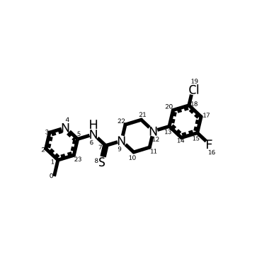 Cc1ccnc(NC(=S)N2CCN(c3cc(F)cc(Cl)c3)CC2)c1